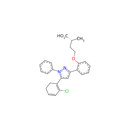 C[C@H](CCOc1ccccc1-c1cc(C2=C(Cl)C=CCC2)n(-c2ccccc2)n1)C(=O)O